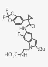 CC(C)(C)c1cc2cc(NC(=O)C3(c4ccc5c(c4)OC(F)(F)O5)CC3)c(F)cc2n1CCNC(=O)O